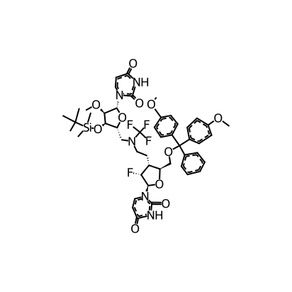 COc1ccc(C(OC[C@H]2O[C@@H](n3ccc(=O)[nH]c3=O)[C@H](F)[C@@H]2CCN(C[C@H]2O[C@@H](n3ccc(=O)[nH]c3=O)[C@H](OC)[C@@H]2O[Si](C)(C)C(C)(C)C)C(F)(F)F)(c2ccccc2)c2ccc(OC)cc2)cc1